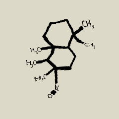 CC1C(C)(N=O)CCC2C(C)(C)CCCC21C